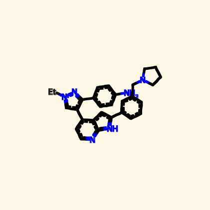 CCn1cc(-c2ccnc3[nH]c(-c4cccc(CN5CCCC5)c4)cc23)c(-c2ccc(N)cc2)n1